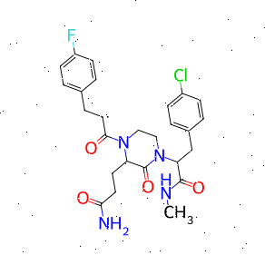 CNC(=O)C(Cc1ccc(Cl)cc1)N1CCN(C(=O)[CH]Cc2ccc(F)cc2)C(CCC(N)=O)C1=O